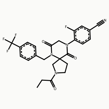 CCC(=O)N1CCC2(C1)C(=O)N(c1ccc(C#N)cc1F)CC(=O)N2Cc1ccc(C(F)(F)F)cc1